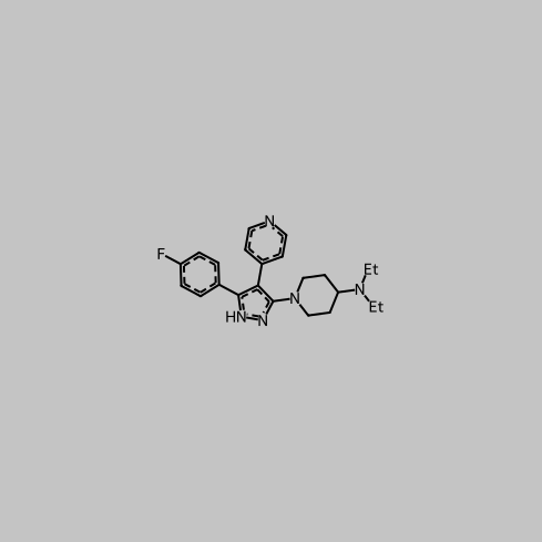 CCN(CC)C1CCN(c2n[nH]c(-c3ccc(F)cc3)c2-c2ccncc2)CC1